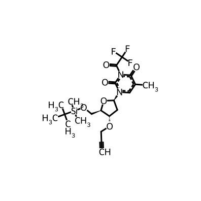 C#CCO[C@H]1C[C@H](n2cc(C)c(=O)n(C(=O)C(F)(F)F)c2=O)O[C@@H]1CO[Si](C)(C)C(C)(C)C